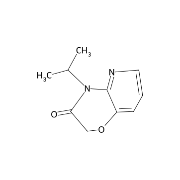 CC(C)N1C(=O)COc2cccnc21